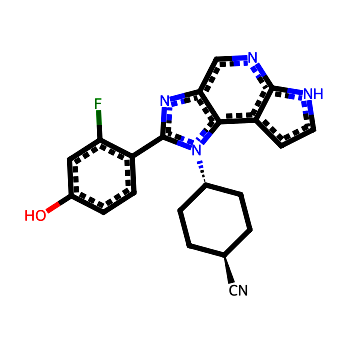 N#C[C@H]1CC[C@H](n2c(-c3ccc(O)cc3F)nc3cnc4[nH]ccc4c32)CC1